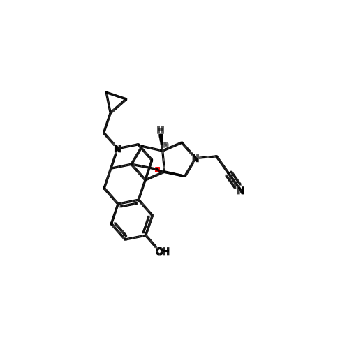 N#CCN1C[C@H]2CC34CCC1C2C31CCN(CC2CC2)C4Cc2ccc(O)cc21